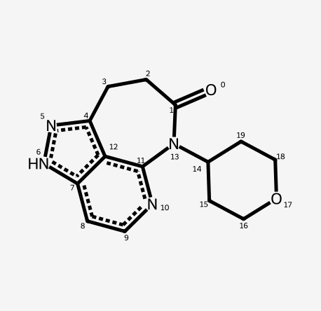 O=C1CCc2n[nH]c3ccnc(c23)N1C1CCOCC1